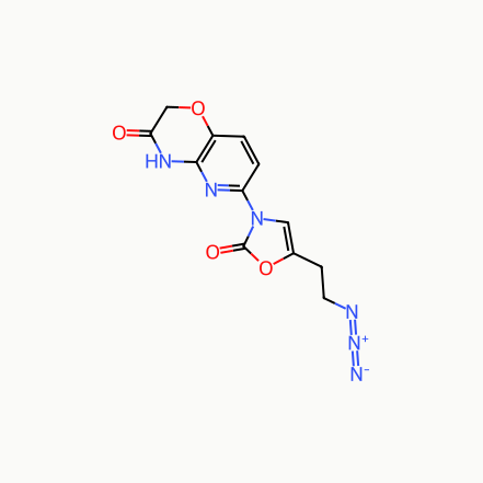 [N-]=[N+]=NCCc1cn(-c2ccc3c(n2)NC(=O)CO3)c(=O)o1